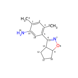 Cc1cc(C)c(C2=NOC3CCCC23)cc1N